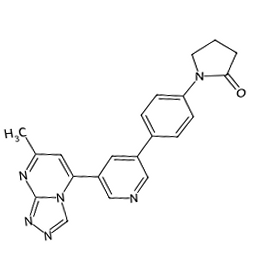 Cc1cc(-c2cncc(-c3ccc(N4CCCC4=O)cc3)c2)n2cnnc2n1